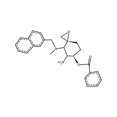 CN(Cc1ccc2ccccc2c1)C1C(N)[C@H](OC(=O)c2ccccc2)CC[C@]12CO2